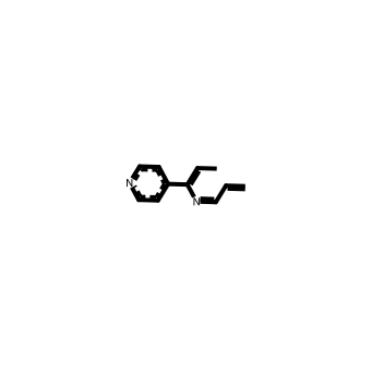 C=C/C=N\C(=C/C)c1ccncc1